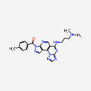 Cc1ccc(C(=O)n2ncc3c2ncc2c(NCCCN(C)C)nc4ncnn4c23)cc1